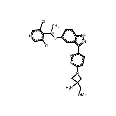 COCC1(N)CN(c2ccc(-c3n[nH]c4ccc(O[C@H](C)c5c(Cl)cncc5Cl)cc34)nn2)C1